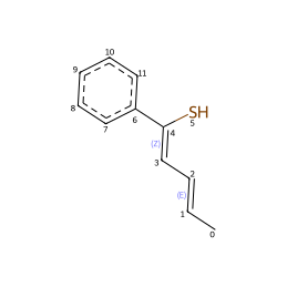 C/C=C/C=C(\S)c1ccccc1